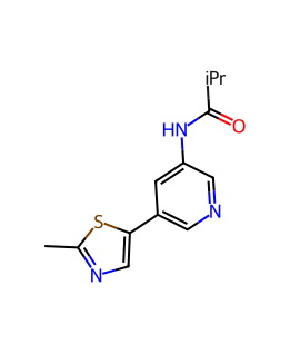 Cc1ncc(-c2cncc(NC(=O)C(C)C)c2)s1